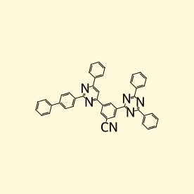 N#Cc1cc(-c2cc(-c3ccccc3)nc(-c3ccc(-c4ccccc4)cc3)n2)cc(-c2nc(-c3ccccc3)nc(-c3ccccc3)n2)c1